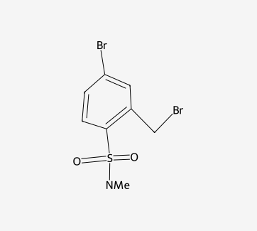 CNS(=O)(=O)c1ccc(Br)cc1CBr